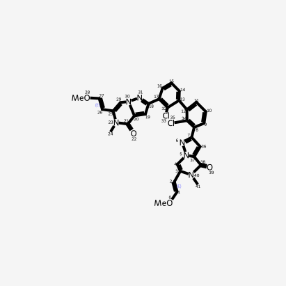 CO/C=C/c1cn2nc(-c3cccc(-c4cccc(-c5cc6c(=O)n(C)c(/C=C/OC)cn6n5)c4Cl)c3Cl)cc2c(=O)n1C